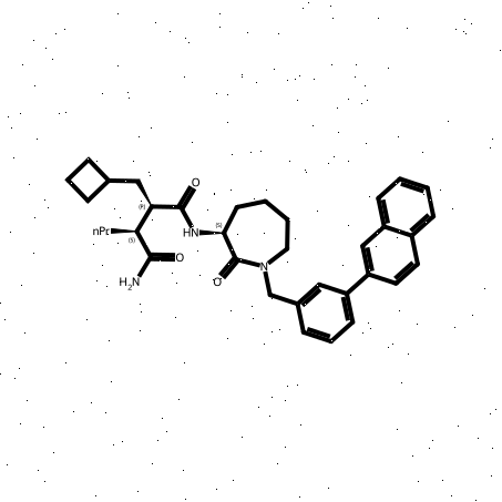 CCC[C@H](C(N)=O)[C@@H](CC1CCC1)C(=O)N[C@H]1CCCCN(Cc2cccc(-c3ccc4ccccc4c3)c2)C1=O